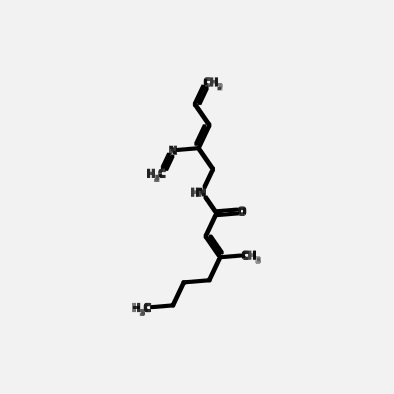 C=C/C=C(/CNC(=O)/C=C(\C)CCCC)N=C